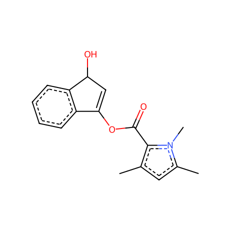 Cc1cc(C)n(C)c1C(=O)OC1=CC(O)c2ccccc21